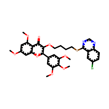 COc1cc(OC)c2c(=O)c(OCCCCSc3ncnc4ccc(Br)cc34)c(-c3cc(OC)c(OC)c(OC)c3)oc2c1